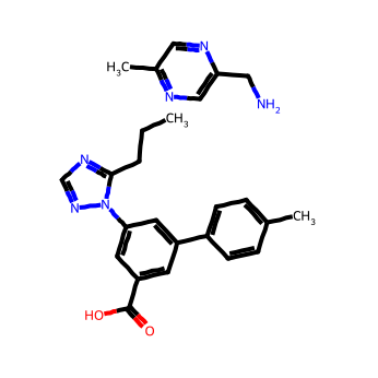 CCCc1ncnn1-c1cc(C(=O)O)cc(-c2ccc(C)cc2)c1.Cc1cnc(CN)cn1